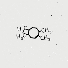 C/C1=C/CC(C)C(C)CCC1C